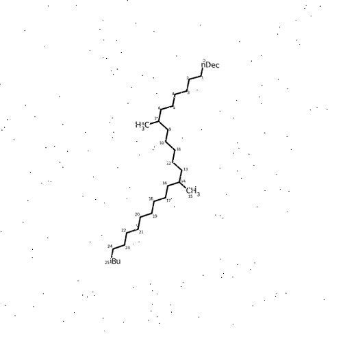 CCCCCCCCCCCCCCCCC(C)CCCCCC(C)CCCCCCCCCC(C)CC